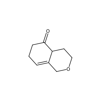 O=C1CCC=C2COCCC12